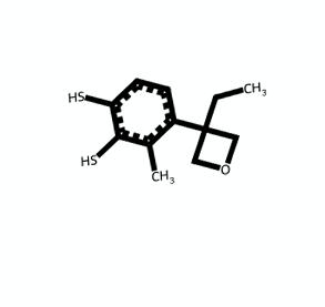 CCC1(c2ccc(S)c(S)c2C)COC1